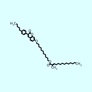 CCCCCCCCCCCC=C(C)C(=O)OCCCCCCCCCCCOc1ccc2cc(-c3ccc(CCCCC)cc3)c(=O)oc2c1